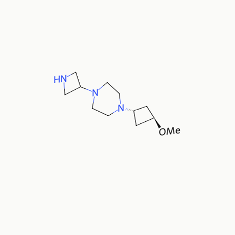 CO[C@H]1C[C@H](N2CCN(C3CNC3)CC2)C1